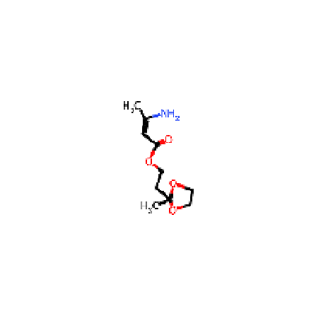 C/C(N)=C/C(=O)OCCC1(C)OCCO1